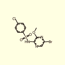 COc1nc(Br)cnc1NS(=O)(=O)c1ccc(Cl)cc1